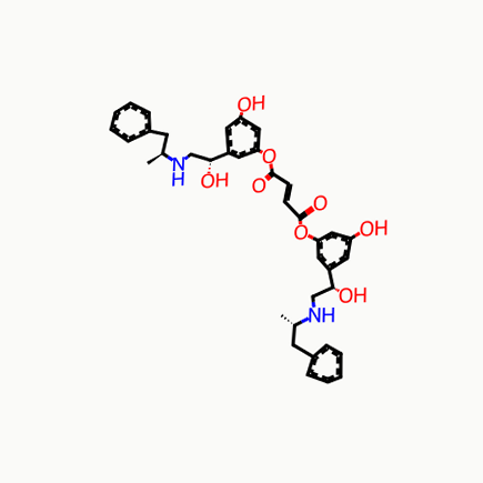 C[C@@H](Cc1ccccc1)NC[C@@H](O)c1cc(O)cc(OC(=O)/C=C/C(=O)Oc2cc(O)cc([C@H](O)CN[C@@H](C)Cc3ccccc3)c2)c1